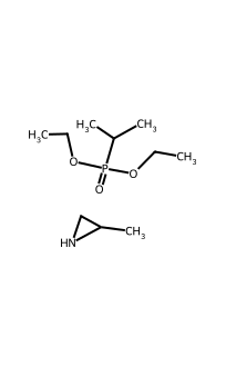 CC1CN1.CCOP(=O)(OCC)C(C)C